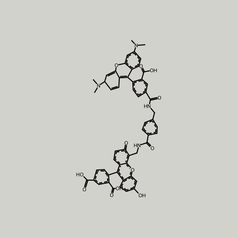 CN(C)c1ccc2c(c1)OC1=CC(N(C)C)C=CC1=C2c1ccc(C(=O)NCc2ccc(C(=O)NCc3c4oc5cc(O)ccc5c(-c5ccc(C(=O)O)cc5C(=O)O)c-4ccc3=O)cc2)cc1C(=O)O